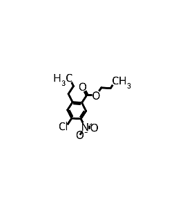 CCCOC(=O)c1cc([N+](=O)[O-])c(Cl)cc1CCC